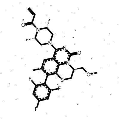 C=CC(=O)N1[C@H](C)CN(c2nc(=O)n3c4c(c(-c5c(F)cc(F)cc5F)c(C)cc24)SC[C@@H]3COC)C[C@@H]1C